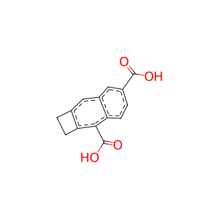 O=C(O)c1ccc2c(C(=O)O)c3c(cc2c1)CC3